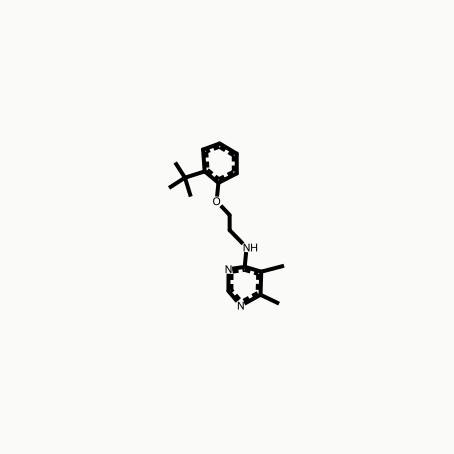 Cc1ncnc(NCCOc2ccccc2C(C)(C)C)c1C